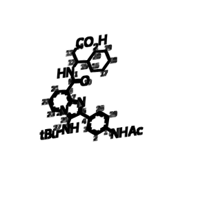 CC(=O)Nc1ccc(-c2nc3c(C(=O)NC(CC(=O)O)C4CCCCC4)cccn3c2NC(C)(C)C)cc1